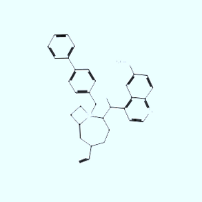 C=CC1CCC(C(O)c2ccnc3ccc(OC)cc23)[N+]2(Cc3ccc(-c4ccccc4)cc3)CCC2C1